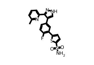 Cc1cccc(-c2n[nH]cc2-c2ccc(F)c(-c3ccc(S(N)(=O)=O)s3)c2)n1